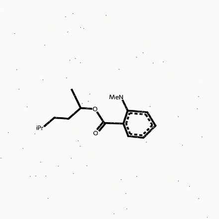 CNc1ccccc1C(=O)OC(C)CCC(C)C